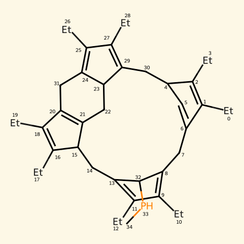 CCC1=C(CC)C2C=C1CC1=C(CC)C(CC)=C(CC3C(CC)=C(CC)C4=C3CC3C(=C(CC)C(CC)=C3C2)C4)C1PC